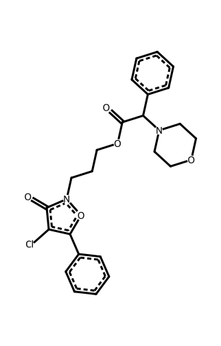 O=C(OCCCn1oc(-c2ccccc2)c(Cl)c1=O)C(c1ccccc1)N1CCOCC1